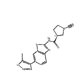 Cc1oncc1-c1ccc2nc(NC(=O)[C@H]3CCN(C#N)C3)sc2c1